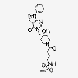 C=CS(=O)(=O)NCCCC(=O)N1CCC(O)(Cn2cnc3c(cnn3-c3ccccc3)c2=O)CC1